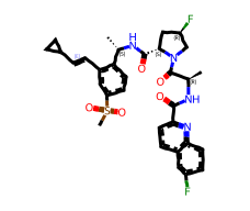 C[C@H](NC(=O)[C@@H]1C[C@@H](F)CN1C(=O)[C@@H](C)NC(=O)c1ccc2cc(F)ccc2n1)c1ccc(S(C)(=O)=O)cc1/C=C/C1CC1